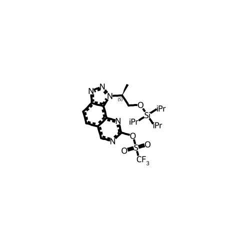 CC(C)[Si](OC[C@H](C)n1nnc2ccc3cnc(OS(=O)(=O)C(F)(F)F)nc3c21)(C(C)C)C(C)C